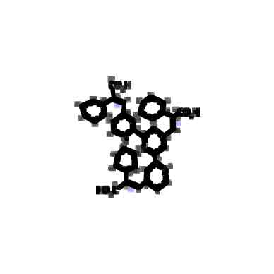 O=C(O)/C(=C/c1ccnc(-c2cc(/C=C(/C(=O)O)c3ccccc3)cc(-c3cc(/C=C(/C(=O)O)c4ccccc4)ccn3)n2)c1)c1ccccc1